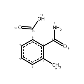 Cc1ccccc1C(N)=O.O=CO